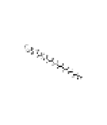 [O]CCCCCCCCCCCCCCCCCCCCF